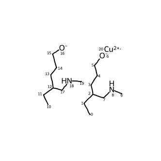 CCC(CCC[O-])CNC.CCC(CCC[O-])CNC.[Cu+2]